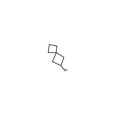 CC(C)C1CC2(CCC2)C1